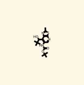 Cc1nc2c(C(O)C(C)(C)C)c(NC(=O)OC(C)(C)C)cnc2s1